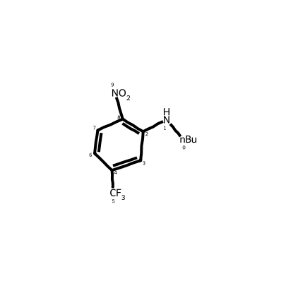 CCCCNc1cc(C(F)(F)F)ccc1[N+](=O)[O-]